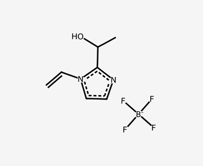 C=Cn1ccnc1C(C)O.F[B-](F)(F)F